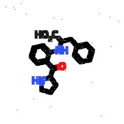 O=C(O)C(Cc1ccccc1)Nc1ccccc1C(=O)C1CCCN1